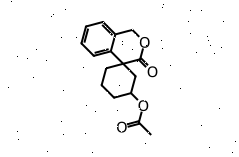 CC(=O)OC1CCCC2(C1)C(=O)OCc1ccccc12